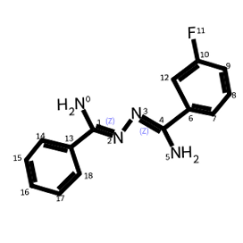 N/C(=N\N=C(/N)c1cccc(F)c1)c1ccccc1